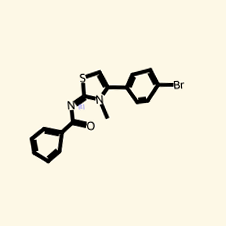 Cn1c(-c2ccc(Br)cc2)cs/c1=N/C(=O)c1ccccc1